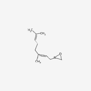 CC(C)=CCC/C(C)=C/CN1CO1